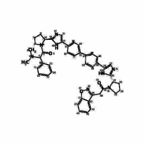 CN(C)C(C(=O)N1CCC[C@H]1c1ncc(-c2ccc(-c3ccc(-c4cnc([C@@H]5CCCN5C(=O)Cc5noc6ccccc56)[nH]4)cc3)cc2)[nH]1)c1ccccc1